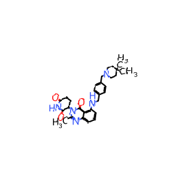 Cc1nc2cccc(NCc3ccc(CN4CCC(C)(C)CC4)cc3)c2c(=O)n1C1CCC(=O)NC1=O